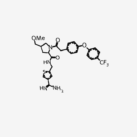 COCC1CC(C(=O)NCc2cc(C(=N)N)cs2)N(C(=O)Cc2ccc(Oc3ccc(C(F)(F)F)cc3)cc2)C1